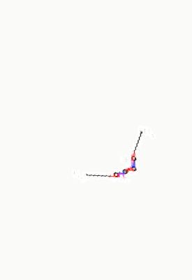 CCCCCCCCCCCCCCOc1ccc(/C=N/c2ccc(C(=O)Oc3cccc(/N=C/c4ccc(OCCCCCCCCCCCCCC)cc4O)c3)cc2)c(O)c1